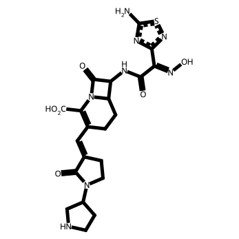 Nc1nc(/C(=N\O)C(=O)NC2C(=O)N3C(C(=O)O)=C(/C=C4\CCN(C5CCNC5)C4=O)CCC23)ns1